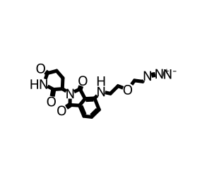 [N-]=[N+]=NCCOCCNc1cccc2c1C(=O)N(C1CCC(=O)NC1=O)C2=O